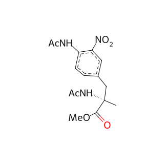 COC(=O)[C@](C)(Cc1ccc(NC(C)=O)c([N+](=O)[O-])c1)NC(C)=O